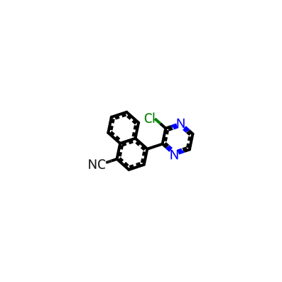 N#Cc1ccc(-c2nccnc2Cl)c2ccccc12